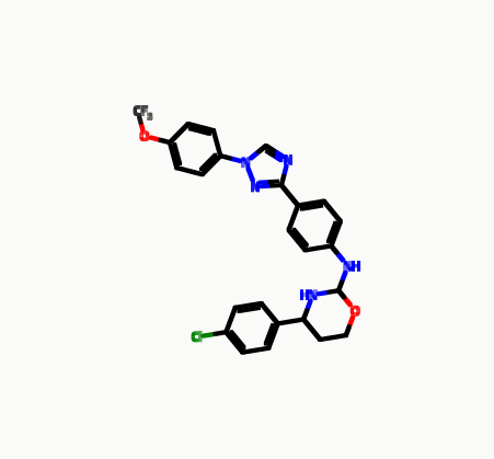 FC(F)(F)Oc1ccc(-n2cnc(-c3ccc(NC4NC(c5ccc(Cl)cc5)CCO4)cc3)n2)cc1